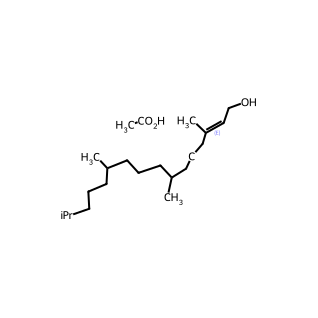 C/C(=C\CO)CCCC(C)CCCC(C)CCCC(C)C.CC(=O)O